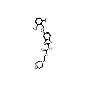 O=C(NCCN1CCOCC1)Nc1nc2ccc(OCc3c(F)cccc3Cl)cc2s1